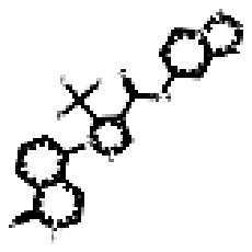 O=C(Nc1ccn2nnnc2c1)c1cnn(-c2cccc3c(=O)[nH]ccc23)c1C(F)(F)F